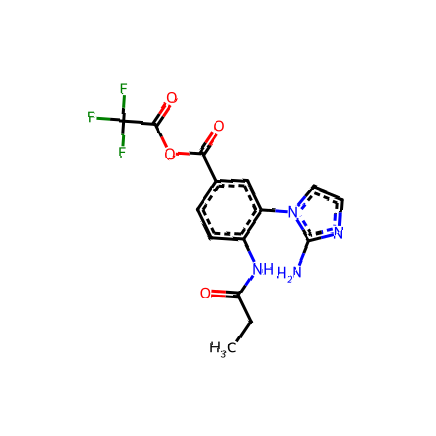 CCC(=O)Nc1ccc(C(=O)OC(=O)C(F)(F)F)cc1-n1ccnc1N